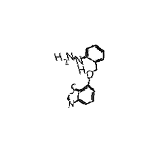 NNc1ccccc1COc1cccc2ncsc12